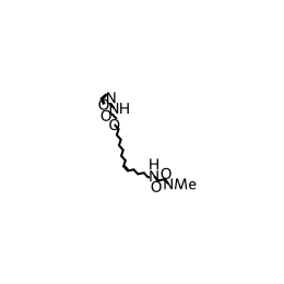 CNC(=O)C(=O)NCCCC/C=C\CCCCCCCOCC(=O)Nc1ncco1